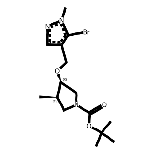 C[C@@H]1CN(C(=O)OC(C)(C)C)C[C@@H]1OCc1cnn(C)c1Br